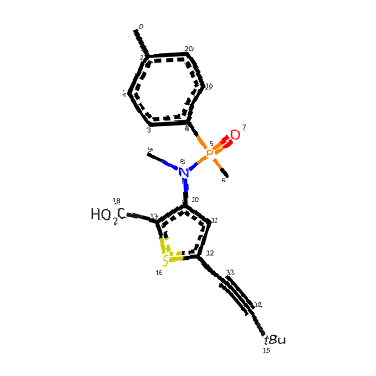 Cc1ccc(P(C)(=O)N(C)c2cc(C#CC(C)(C)C)sc2C(=O)O)cc1